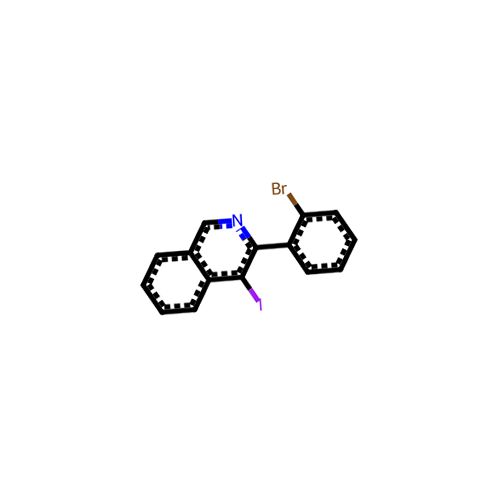 Brc1ccccc1-c1ncc2ccccc2c1I